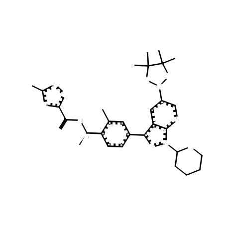 Cc1cc(-c2nn(C3CCCCO3)c3ncc(B4OC(C)(C)C(C)(C)O4)cc23)ccc1[C@@H](C)NC(=O)c1nc(C(C)(C)C)no1